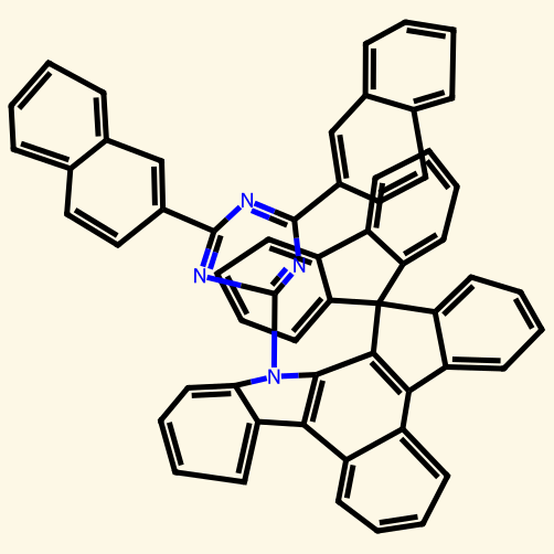 c1ccc2c(c1)-c1ccccc1C21c2ccccc2-c2c1c1c(c3ccccc23)c2ccccc2n1-c1nc(-c2ccc3ccccc3c2)nc(-c2ccc3ccccc3c2)n1